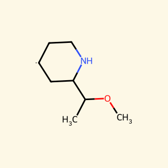 COC(C)C1C[CH]CCN1